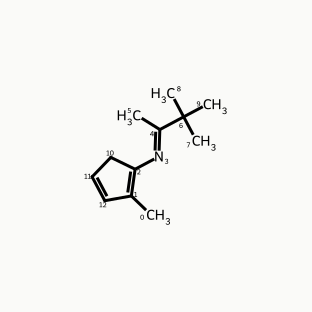 CC1=C(/N=C(\C)C(C)(C)C)CC=C1